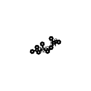 c1ccc(-c2nc(-c3cccc4c3-c3ccccc3C4c3ccccc3)nc(-c3cccc4c3oc3cc(-c5nc(-c6ccccc6)c6oc7ccccc7c6n5)ccc34)n2)cc1